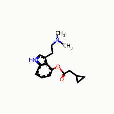 CN(C)CCc1c[nH]c2cccc(OC(=O)CC3CC3)c12